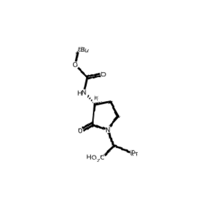 CC(C)C(C(=O)O)N1CC[C@@H](NC(=O)OC(C)(C)C)C1=O